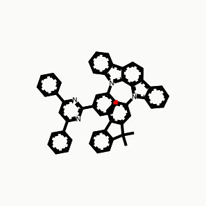 CC1(C)c2ccccc2-c2ccc(-n3c4ccccc4c4ccc5c6ccccc6n(-c6cccc(-c7nc(-c8ccccc8)cc(-c8ccccc8)n7)c6)c5c43)cc21